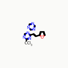 ClC(Cl)(Cl)c1ncnc(C=Cc2ccco2)n1.c1ncncn1